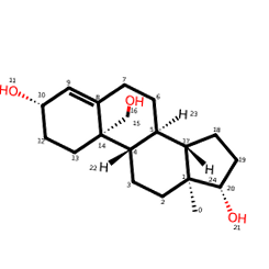 C[C@]12CC[C@H]3[C@@H](CCC4=C[C@@H](O)CC[C@@]43CO)[C@@H]1CC[C@@H]2O